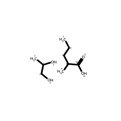 CC(O)CO.CCCC(C)C(=O)O